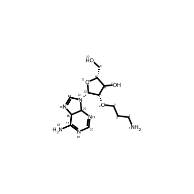 NCCCO[C@H]1C(O)[C@@H](CO)O[C@H]1N1C=NC2C(N)=NC=NC21